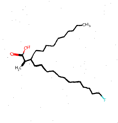 C=C(C(=O)O)C(CCCCCCCCCC)CCCCCCCCCCCCF